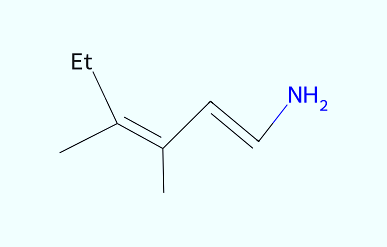 CCC(C)=C(C)C=CN